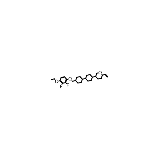 C=CC1CCC(C2CCC(C3CCC(COc4ccc(OCC)c(F)c4F)CC3)CC2)CO1